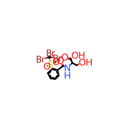 O=C(NC(CO)C(=O)O)c1ccccc1S(=O)(=O)C(Br)(Br)Br